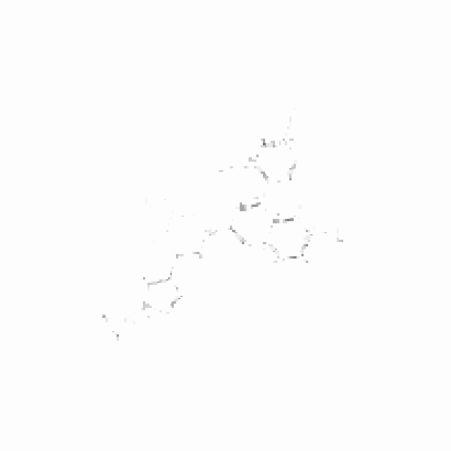 Cc1nc2cc(N3C[C@@H](C)O[C@H](c4cnn(C5CC5)c4)C3)nc(-c3ccc(F)cc3F)c2nc1C